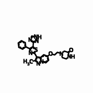 Cc1nn2ccc(OCCN3CCNC(=O)C3)cc2c1-c1nc(-c2ccccc2)c(-c2nc[nH]n2)s1